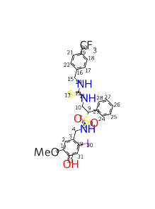 COc1cc(CNS(=O)(=O)C(CNC(=S)NCc2ccc(C(F)(F)F)cc2)c2ccccc2)c(I)cc1O